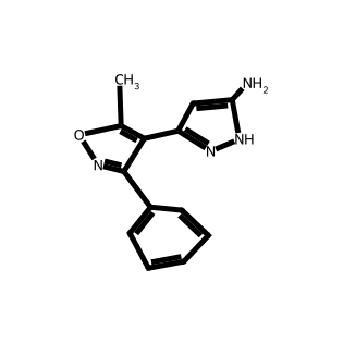 Cc1onc(-c2ccccc2)c1-c1cc(N)[nH]n1